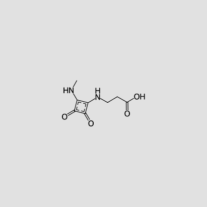 CNc1c(NCCC(=O)O)c(=O)c1=O